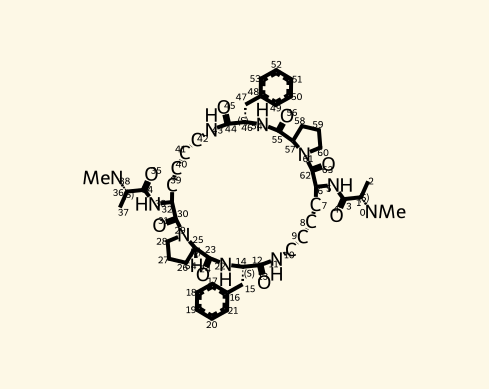 CN[C@@H](C)C(=O)NC1CCCCNC(=O)[C@H](Cc2ccccc2)NC(=O)[C@@H]2CCCN2C(=O)C(NC(=O)[C@H](C)NC)CCCCNC(=O)[C@H](Cc2ccccc2)NC(=O)C2CCCN2C1=O